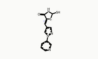 O=C1NC(S)S/C1=C\c1cnn(-c2cccnc2)c1